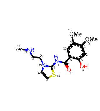 COc1cc(O)c(C(=O)NC2SC=CN2CCNC(C)C)cc1OC